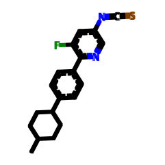 CC1CCC(c2ccc(-c3ncc(N=C=S)cc3F)cc2)CC1